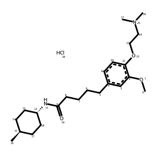 COc1cc(CCCCC(=O)N[C@H]2CC[C@H](C)CC2)ccc1OCCN(C)C.Cl